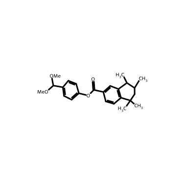 COC(OC)c1ccc(OC(=O)c2ccc3c(c2)C(C)C(C)CC3(C)C)cc1